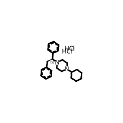 Cl.Cl.c1ccc(C[C@@H](c2ccccc2)N2CCN(C3CCCCC3)CC2)cc1